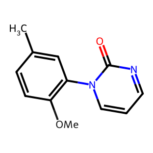 COc1ccc(C)cc1-n1cccnc1=O